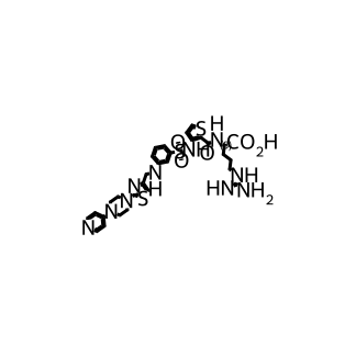 N=C(N)NCCC[C@H](NC(=O)c1sccc1NS(=O)(=O)c1cccc(NCc2csc(N3CCN(c4ccncc4)CC3)n2)c1)C(=O)O